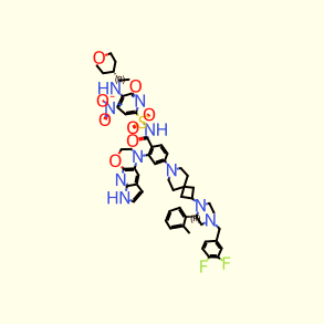 Cc1ccccc1[C@@H]1CN(Cc2ccc(F)c(F)c2)CCN1C1CC2(CCN(c3ccc(C(=O)NS(=O)(=O)c4cc([N+](=O)[O-])c5c(n4)OC[C@@H](C4CCOCC4)N5)c(N4CCOc5nc6[nH]ccc6cc54)c3)CC2)C1